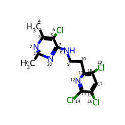 Cc1nc(C)c(Cl)c(NCCc2nc(Cl)c(Cl)cc2Cl)n1